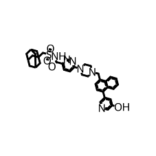 O=C(NS(=O)(=O)CC12CC3CC(CC(C3)C1)C2)c1ccc(N2CCN(Cc3ccc(-c4cncc(O)c4)c4ccccc34)CC2)nn1